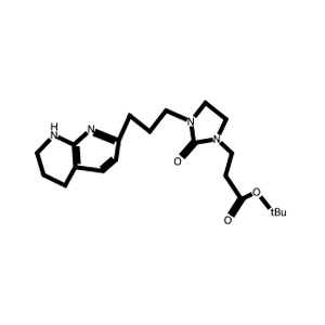 CC(C)(C)OC(=O)CCN1CCN(CCCc2ccc3c(n2)NCCC3)C1=O